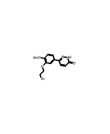 COc1ccc(-c2ccc(=O)[nH]n2)cc1OCCC(C)C